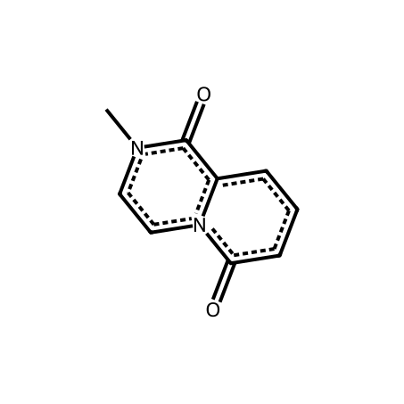 Cn1ccn2c(=O)cccc2c1=O